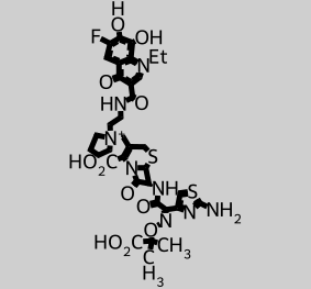 CCn1cc(C(=O)NCC[N+]2(CC3=C(C(=O)O)N4C(=O)[C@@H](NC(=O)/C(=N\OC(C)(C)C(=O)O)c5csc(N)n5)C4SC3)CCCC2)c(=O)c2cc(F)c(O)c(O)c21